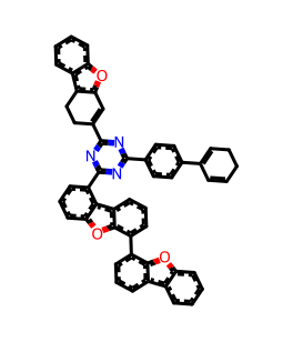 C1=CC(c2ccc(-c3nc(C4=Cc5oc6ccccc6c5CC4)nc(-c4cccc5oc6c(-c7cccc8c7oc7ccccc78)cccc6c45)n3)cc2)=CCC1